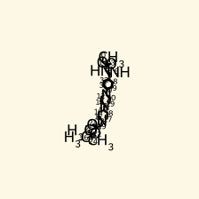 COC(=O)NC(=N)c1ccc(N2CCN(C3CCN(CC(=O)OC(C)(C)C)CC3)CC2)cc1